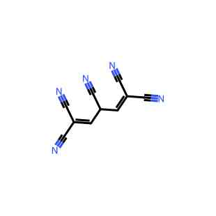 N#CC(C#N)=CC(C#N)C=C(C#N)C#N